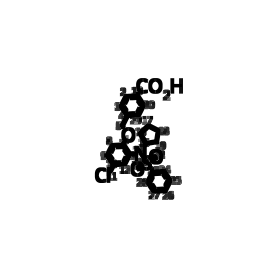 O=C(O)c1ccc(COc2ccc(Cl)cc2N(C2CCCC2)S(=O)(=O)c2ccccc2)cc1